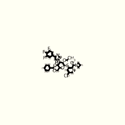 CCO[C@H]1C(n2cc(-c3cc(F)c(F)c(F)c3)nn2)[C@H]2OC(c3ccccc3)OCC2O[C@@H]1Sc1cc(Cl)cnc1C(=O)N1CCC1